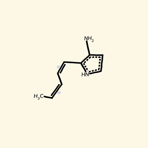 C/C=C\C=C/c1[nH]ccc1N